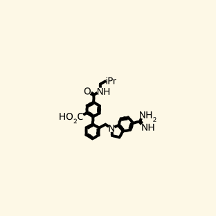 CC(C)CNC(=O)c1ccc(-c2ccccc2CN2CCc3cc(C(=N)N)ccc32)c(C(=O)O)c1